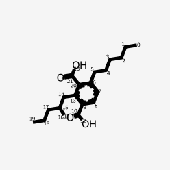 CCCCCCc1ccc(C(=O)O)c(CC(C)CCC)c1C(=O)O